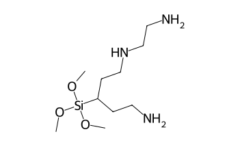 CO[Si](OC)(OC)C(CCN)CCNCCN